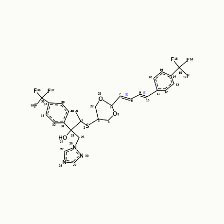 CC(SC1COC(/C=C/C=C/c2ccc(C(F)(F)F)cc2)OC1)C(O)(Cn1cncn1)c1ccc(C(F)(F)F)cc1